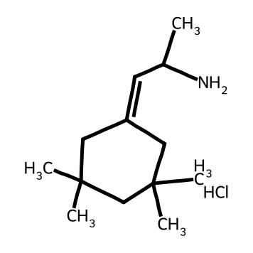 CC(N)C=C1CC(C)(C)CC(C)(C)C1.Cl